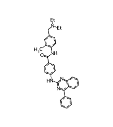 CCN(CC)Cc1ccc(NC(=O)c2ccc(Nc3nc(-c4ccccc4)c4ccccc4n3)cc2)c(C)c1